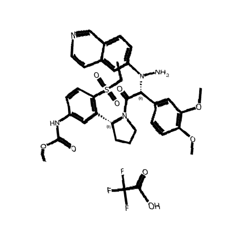 CCS(=O)(=O)c1ccc(NC(=O)OC)cc1[C@H]1CCCN1C(=O)[C@@H](c1ccc(OC)c(OC)c1)N(N)c1ccc2cnccc2c1.O=C(O)C(F)(F)F